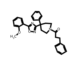 COc1ccccc1-c1nc(C2(c3ccccc3)CCN(C(=O)CCc3ccccc3)CC2)no1